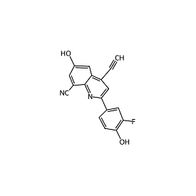 C#Cc1cc(-c2ccc(O)c(F)c2)nc2c(C#N)cc(O)cc12